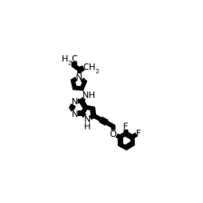 C=CC(=C)N1CC[C@@H](Nc2ncnc3[nH]c(C#CCOc4cccc(F)c4F)cc23)C1